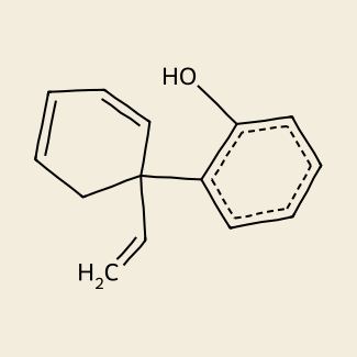 C=CC1(c2ccccc2O)C=CC=CC1